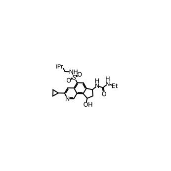 CCNC(=O)NC1CC(O)c2c1cc(S(=O)(=O)NCC(C)C)c1cc(C3CC3)ncc21